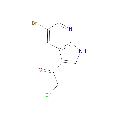 O=C(CCl)c1c[nH]c2ncc(Br)cc12